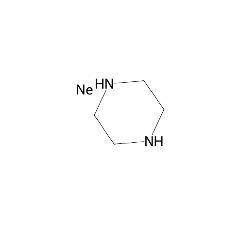 C1CNCCN1.[Ne]